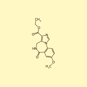 CCOC(=O)c1ncn2c1CNC(=O)c1cc(OC)ccc1-2